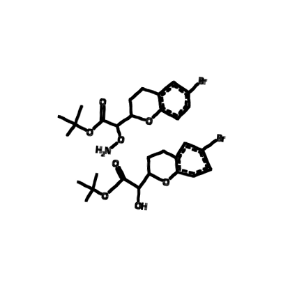 CC(C)(C)OC(=O)C(O)C1CCc2cc(Br)ccc2O1.CC(C)(C)OC(=O)C(ON)C1CCc2cc(Br)ccc2O1